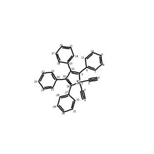 C#C[Si]1(C#C)C(c2ccccc2)=C(c2ccccc2)C(c2ccccc2)=C1c1ccccc1